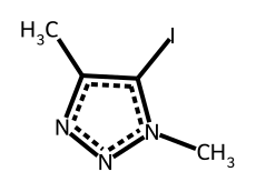 Cc1nnn(C)c1I